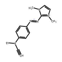 C#CN(CC)c1ccc(/N=N/c2n(C)cc[n+]2C)cc1